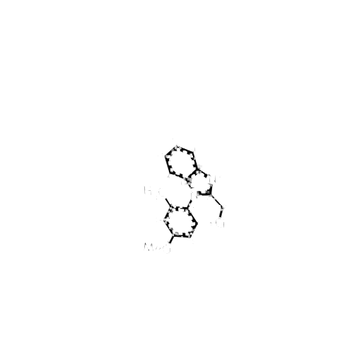 COc1ccc(-n2c(CCl)nc3ccccc32)c(C)c1